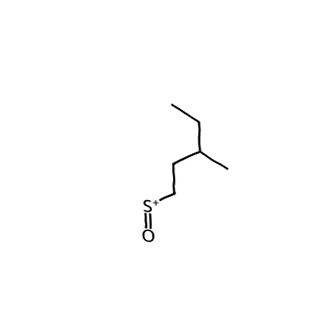 CCC(C)CC[S+]=O